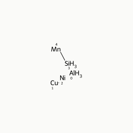 [AlH3].[Cu].[Ni].[SiH3][Mn]